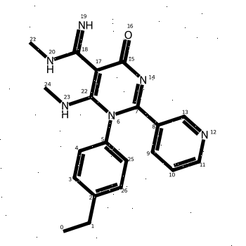 CCc1ccc(-n2c(-c3cccnc3)nc(=O)c(C(=N)NC)c2NC)cc1